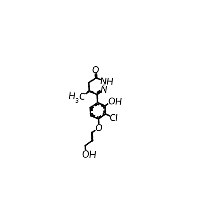 CC1CC(=O)NN=C1c1ccc(OCCCO)c(Cl)c1O